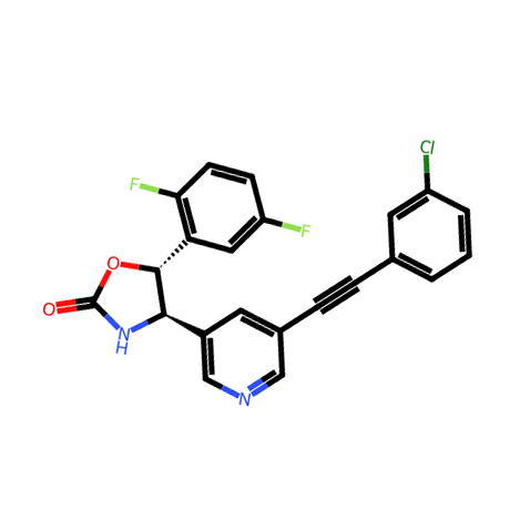 O=C1N[C@H](c2cncc(C#Cc3cccc(Cl)c3)c2)[C@@H](c2cc(F)ccc2F)O1